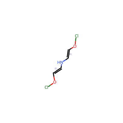 ClO/C=C/N/C=C/OCl